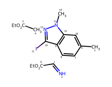 CCOC(=O)C=N.CCOC(C)=O.Cc1ccc2c(I)nn(C)c2c1